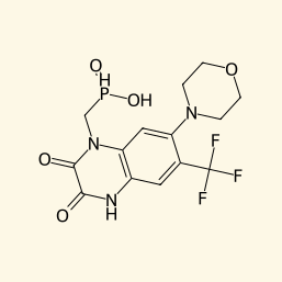 O=c1[nH]c2cc(C(F)(F)F)c(N3CCOCC3)cc2n(C[PH](=O)O)c1=O